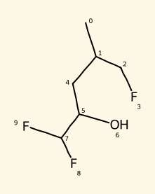 CC(CF)CC(O)C(F)F